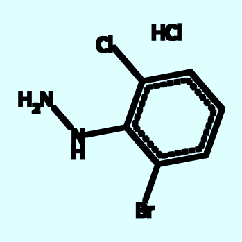 Cl.NNc1c(Cl)cccc1Br